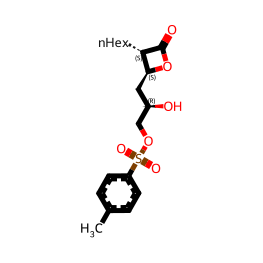 CCCCCC[C@@H]1C(=O)O[C@H]1C[C@@H](O)COS(=O)(=O)c1ccc(C)cc1